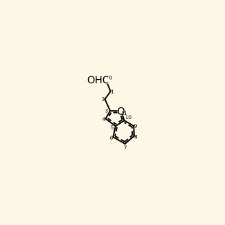 O=CCCc1cc2ccccc2o1